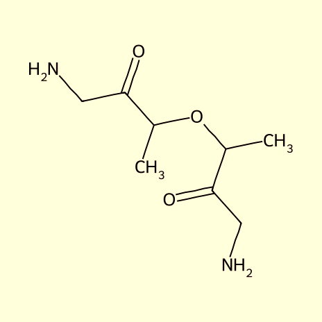 CC(OC(C)C(=O)CN)C(=O)CN